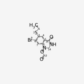 CCSc1cc2c(cc1Br)N(OC=O)CNC2=O